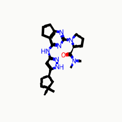 CN(C)C(=O)[C@@H]1CCCN1c1nc2c(c(Nc3cc(C4CCC(C)(C)C4)[nH]n3)n1)CCC2